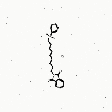 C[P+](C)(CCCCCCCCCN1C(=O)c2ccccc2C1=O)c1ccccc1.[Br-]